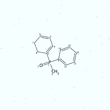 CP(=O)(C1=CC=CCC1)c1ccccc1